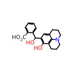 O=C(O)c1ccccc1C(O)c1cc2c3c(c1O)CCCN3CCC2